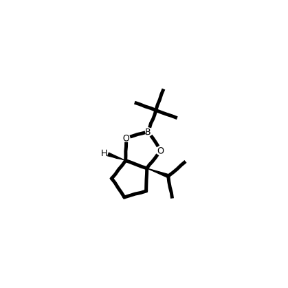 CC(C)[C@@]12CCC[C@@H]1OB(C(C)(C)C)O2